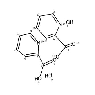 Cl.Cl.O=C(O)c1ccccn1.O=C(O)c1ccccn1